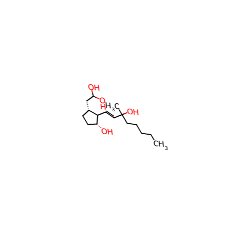 CCCCCC(C)(O)/C=C/C1[C@@H](CC(O)O)CC[C@H]1O